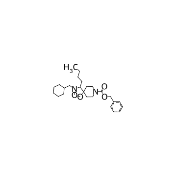 CCCCC1N(CC2CCCCC2)OOC12CCN(C(=O)OCc1ccccc1)CC2